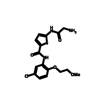 COCCOc1ccc(Cl)cc1NC(=O)c1ccc(NC(=O)CN)s1